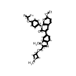 CCOc1ccc2cc(-c3ccc4nc(COC5CN(C)C5)n(C)c4c3)c(=O)n(-c3ccc(OC(F)F)cc3)c2n1